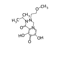 COCCN1Cn2cc(O)c(=O)c(O)c2C(=O)N1C(C)C